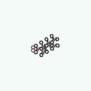 c1ccc(N(c2ccccc2)c2cc3c4c(c2)N(c2ccccc2)c2cc5c(cc2B4c2ccccc2N3c2ccccc2)B2c3ccccc3N(c3ccccc3)c3cc(N(c4ccccc4C4CCCCC4)c4ccccc4C4CCCCC4)cc(c32)N5c2ccccc2)cc1